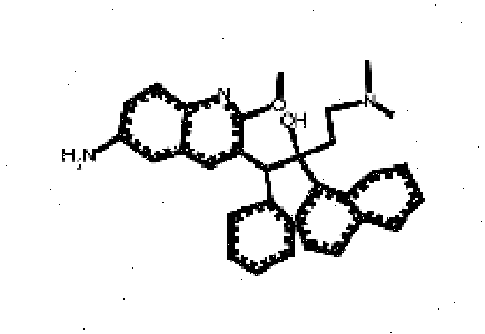 COc1nc2ccc(N)cc2cc1C(c1ccccc1)C(O)(CCN(C)C)c1cccc2ccccc12